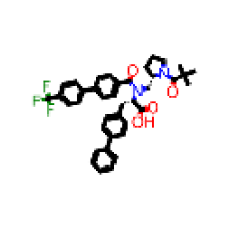 CC(C)(C)C(=O)N1CCC[C@H]1CN(C(=O)c1ccc(-c2ccc(C(F)(F)F)cc2)cc1)[C@@H](Cc1ccc(-c2ccccc2)cc1)C(=O)O